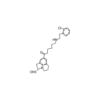 O=CC1Cc2cc(C(=O)CCCCCNCCc3ccccc3Cl)cc3c2N1CCC3